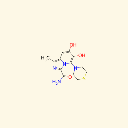 Cc1nc(C(N)=O)n2c(N3CCSCC3)c(O)c(O)cc12